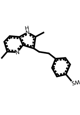 CSc1ccc(CCc2c(C)[nH]c3ccc(C)nc23)cc1